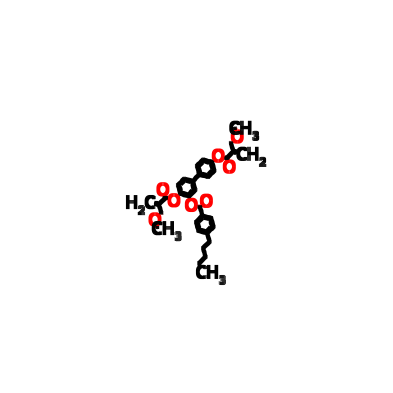 C=C(COC)C(=O)Oc1ccc(-c2ccc(OC(=O)C(=C)COC)c(OC(=O)c3ccc(CCCCC)cc3)c2)cc1